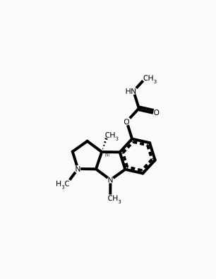 CNC(=O)Oc1cccc2c1[C@]1(C)CCN(C)C1N2C